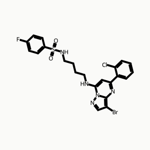 O=S(=O)(NCCCCNc1cc(-c2ccccc2Cl)nc2c(Br)cnn12)c1ccc(F)cc1